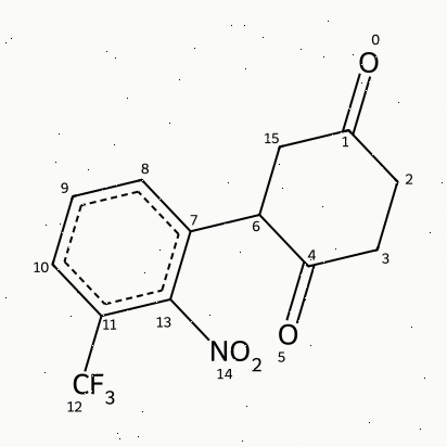 O=C1CCC(=O)C(c2cccc(C(F)(F)F)c2[N+](=O)[O-])C1